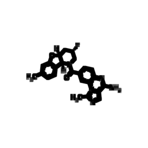 Cc1ncc2c(N)nc3ccc(C(=O)N4C[C@@H](F)C[C@@H]5Oc6cc(C(F)(F)F)ccc6[C@@H]54)cc3n12